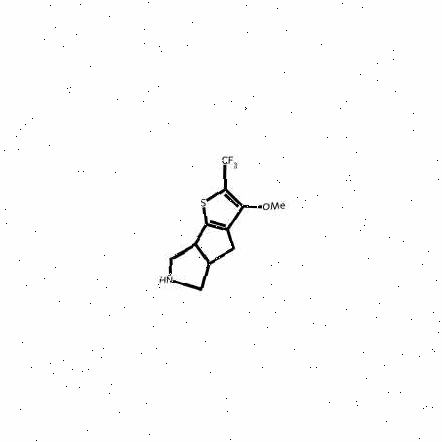 COc1c(C(F)(F)F)sc2c1CC1CNCC21